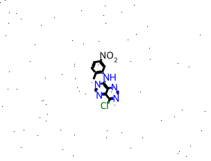 Cc1ccc([N+](=O)[O-])cc1Nc1ncnc2c(Cl)ncnc12